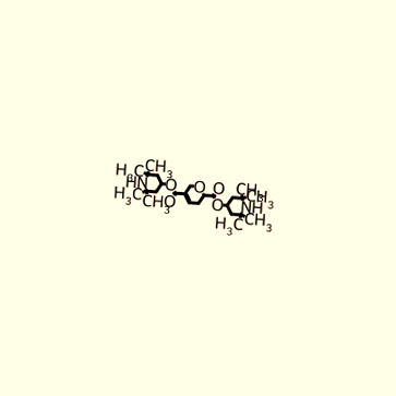 CC1(C)CC(OC(=O)C2=CCC(C(=O)OC3CC(C)(C)NC(C)(C)C3)OC2)CC(C)(C)N1